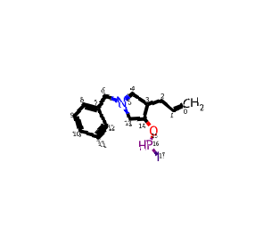 C=CCC1CN(Cc2ccccc2)CC1OPI